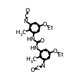 CCOc1cc(N=C=O)c(C)c(NC(=O)Nc2cc(OCC)cc(N=C=O)c2C)c1